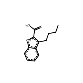 CCCCc1c(C(=O)O)oc2ccccc12